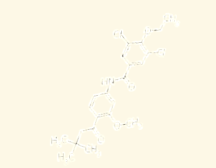 CCOc1c(Cl)cc(C(=O)Nc2ccc(C(=O)CC(C)(C)C)c(OC)c2)cc1Cl